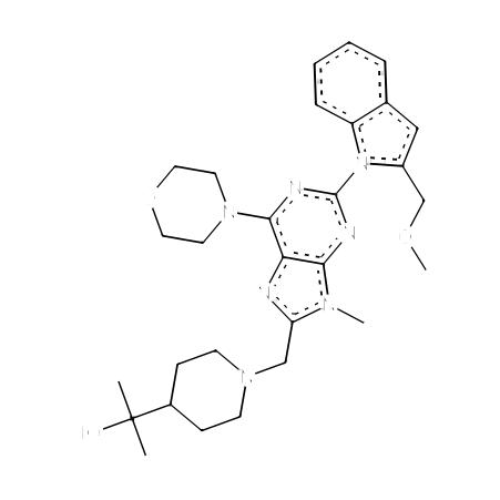 COCc1cc2ccccc2n1-c1nc(N2CCOCC2)c2nc(CN3CCC(C(C)(C)O)CC3)n(C)c2n1